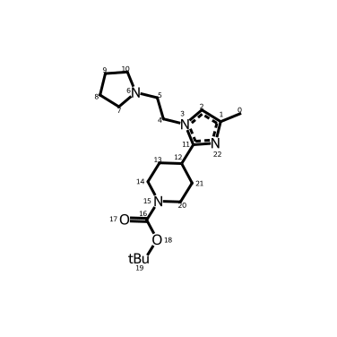 Cc1cn(CCN2CCCC2)c(C2CCN(C(=O)OC(C)(C)C)CC2)n1